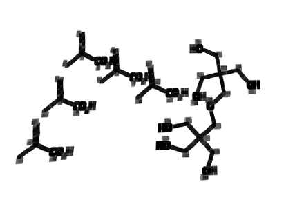 C=C(C)C(=O)O.C=C(C)C(=O)O.C=C(C)C(=O)O.C=C(C)C(=O)O.C=C(C)C(=O)O.OCC(CO)(CO)COCC(CO)(CO)CO